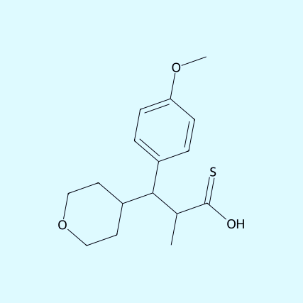 COc1ccc(C(C2CCOCC2)C(C)C(O)=S)cc1